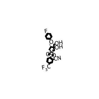 N#Cc1cc(C(F)(F)F)ccc1S(=O)(=O)N1C[C@H](COc2ccc(F)cc2)[C@](O)(CO)C1